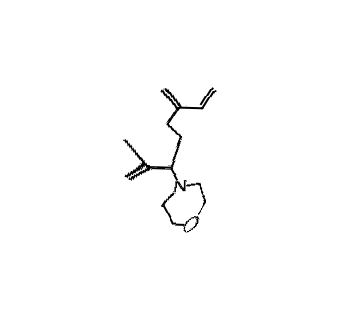 C=CC(=C)CCC(C(=C)C)N1CCOCC1